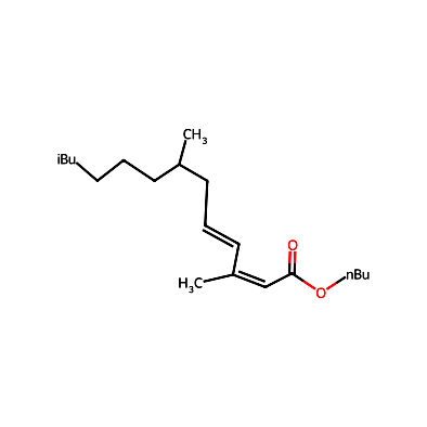 CCCCOC(=O)C=C(C)C=CCC(C)CCCC(C)CC